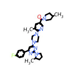 Cc1cc(C(=O)N2CCC(C)CC2)cnc1N1CCN(c2cc(-c3ccc(F)cc3)nc(N3CCCC3C)n2)CC1